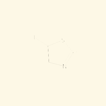 IC1CN=CS1